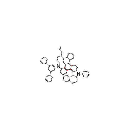 C=C/C=C(\C=C/CN(c1cc(-c2ccccc2)cc(-c2ccccc2)c1)c1cccc(-c2cccc3c2C2c4ccccc4C=CCC2N3c2ccccc2)c1)c1cc2ccccc2c2ccccc12